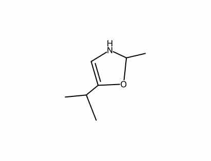 CC1NC=C(C(C)C)O1